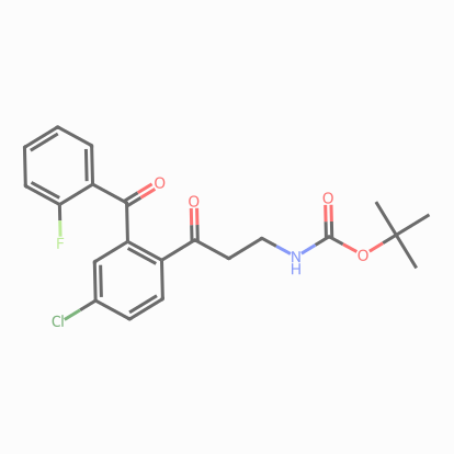 CC(C)(C)OC(=O)NCCC(=O)c1ccc(Cl)cc1C(=O)c1ccccc1F